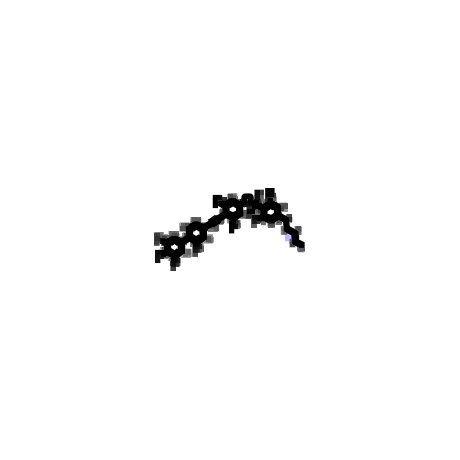 C/C=C/CCc1cc(F)c(C(F)(F)Oc2cc(F)c(C#Cc3ccc(-c4cc(F)c(F)c(F)c4)c(F)c3)c(F)c2)c(F)c1